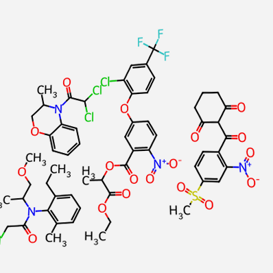 CC1COc2ccccc2N1C(=O)C(Cl)Cl.CCOC(=O)C(C)OC(=O)c1cc(Oc2ccc(C(F)(F)F)cc2Cl)ccc1[N+](=O)[O-].CCc1cccc(C)c1N(C(=O)CCl)C(C)COC.CS(=O)(=O)c1ccc(C(=O)C2C(=O)CCCC2=O)c([N+](=O)[O-])c1